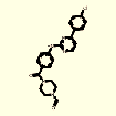 O=CN1CCN(C(=O)c2ccc(Nc3nccc(-c4ccc(Cl)cc4)n3)cc2)CC1